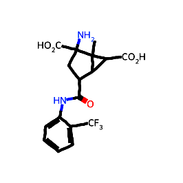 CC12C(C(=O)O)C1C(C(=O)Nc1ccccc1C(F)(F)F)CC2(N)C(=O)O